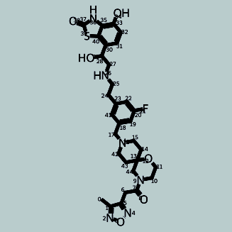 Cc1nonc1CC(=O)N1CCOC2(CCN(Cc3cc(F)cc(CCNCC(O)c4ccc(O)c5[nH]c(=O)sc45)c3)CC2)C1